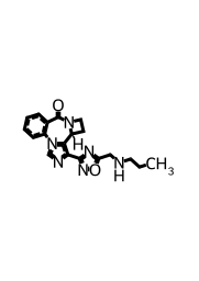 CCCNCc1nc(-c2ncn3c2[C@@H]2CCN2C(=O)c2ccccc2-3)no1